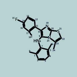 Cc1cccc(C)c1Nc1c(-c2ccc(F)cc2I)nc2scc(C)n12